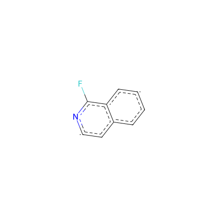 Fc1n[c]cc2cc[c]cc12